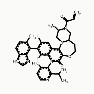 C=CC(=O)N1CC2CCOc3c(c4cc(F)c(-c5c(C)ccc6[nH]cnc56)c(F)c4n(-c4c(C)ccnc4C(C)C)c3=O)N2CC1C